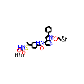 CC(SNC(=O)OC(C)(C)C)C1CCC(C(=O)Nc2ccnc3c2cc(-c2ccccc2)n3COCC[Si](C)(C)C)CC1